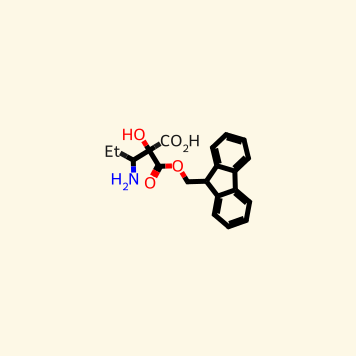 CCC(N)C(O)(C(=O)O)C(=O)OCC1c2ccccc2-c2ccccc21